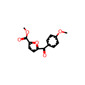 COC(=O)c1ccc(C(=O)c2ccc(OC)cc2)o1